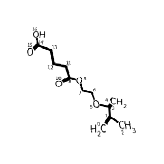 C=C(C)C(=C)OCCOC(=O)CCCC(=O)O